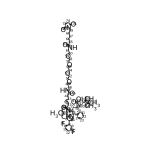 CC(C)(C)[C@H](c1cc(-c2cc(F)ccc2F)cn1Cc1ccccc1)N(CCCN(CC[Si](C)(C)C)C(=O)O)C(=O)CSCCC(=O)NCCOCCOCCOCCOCCNC(=O)CCCCCN1C(=O)C=CC1=O